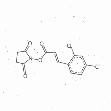 O=C(C=Cc1ccc(Cl)cc1Cl)ON1C(=O)CCC1=O